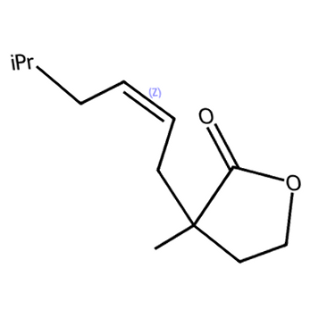 CC(C)C/C=C\CC1(C)CCOC1=O